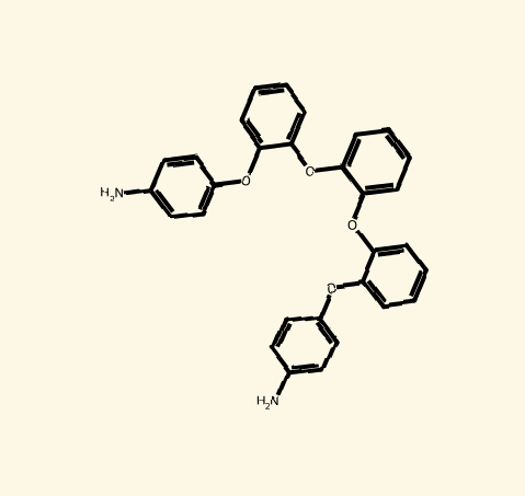 Nc1ccc(Oc2ccccc2Oc2ccccc2Oc2ccccc2Oc2ccc(N)cc2)cc1